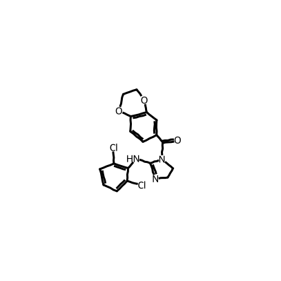 O=C(c1ccc2c(c1)OCCO2)N1CCN=C1Nc1c(Cl)cccc1Cl